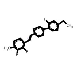 CCc1ccc(-c2ccc(/C=C/c3ccc(C)c(F)c3F)cc2)c(F)c1